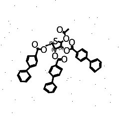 CC(=O)OC1S[C@H](COC(=O)c2ccc(-c3ccccc3)cc2)[C@H](OC(=O)c2ccc(-c3ccccc3)cc2)[C@@H]1OC(=O)c1ccc(-c2ccccc2)cc1